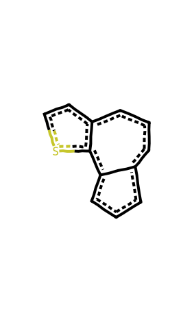 c1cc2cccc3ccsc3c-2c1